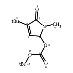 CN1C(=O)C(C(C)(C)C)=CC1OC(=O)OC(C)(C)C